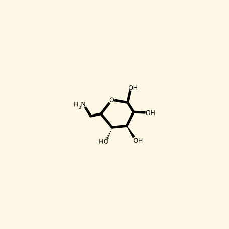 NCC1OC(O)C(O)[C@@H](O)[C@@H]1O